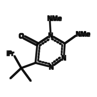 CNc1nnc(C(C)(C)C(C)C)c(=O)n1NC